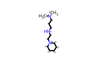 CN(C)CCCNCCN1CCCCC1